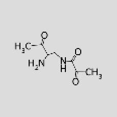 CC(=O)C(=O)NCC(N)C(C)=O